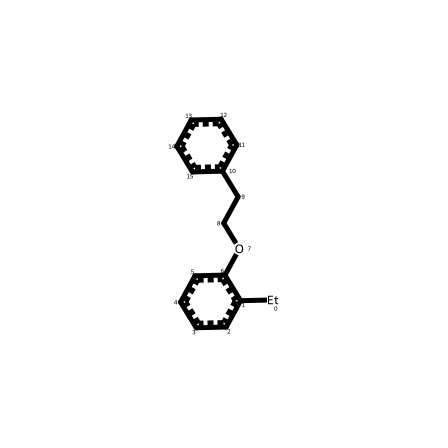 [CH2]Cc1ccccc1OCCc1ccccc1